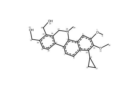 COc1cc2c3c(ccc2c(C2CC2)c1OC)-c1ccc(CO)c(CO)c1CN3C